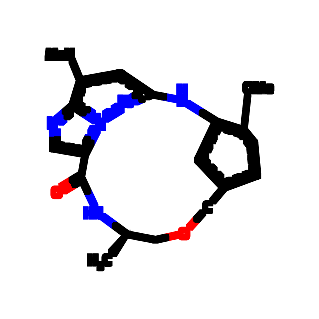 CNc1cc2nn3c(cnc13)C(=O)N[C@H](C)COCc1ccc(OC)c(c1)N2